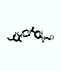 C=C(c1ccc(N(C)CC=O)nc1)N1CCN(c2ncc(CC)cc2C)CC1